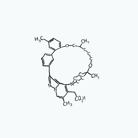 Cc1ccc2c(c1)-c1cccc(c1)-c1cc3c(c(CC(=O)O)c(C)cn3n1)N1CCC(C)(CC1)OCCCC(C)CO2